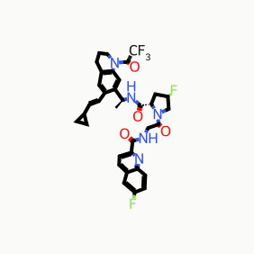 C[C@H](NC(=O)[C@@H]1C[C@@H](F)CN1C(=O)CNC(=O)c1ccc2cc(F)ccc2n1)c1cc2c(cc1/C=C/C1CC1)CCCN2C(=O)C(F)(F)F